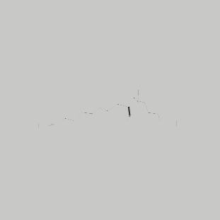 CCCCCCCCCCCCCCCCCC(=O)N[C@@H](CCC(=O)O)C(=O)O